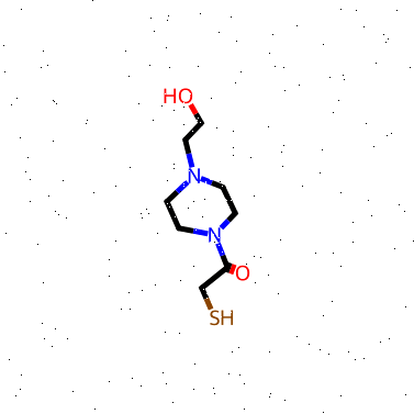 O=C(CS)N1CCN(CCO)CC1